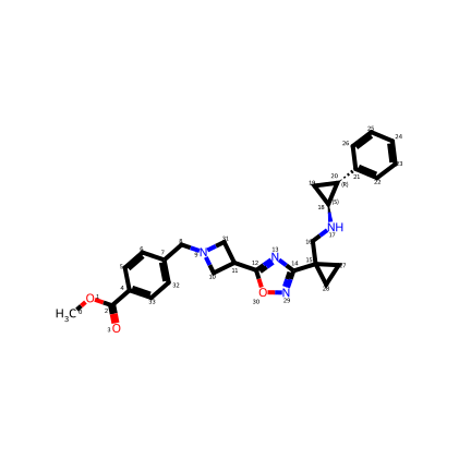 COC(=O)c1ccc(CN2CC(c3nc(C4(CN[C@H]5C[C@@H]5c5ccccc5)CC4)no3)C2)cc1